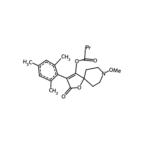 CON1CCC2(CC1)OC(=O)C(c1c(C)cc(C)cc1C)=C2OC(=O)C(C)C